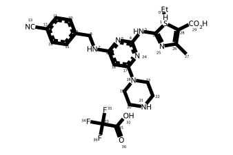 CC[SH]1C(Nc2nc(NCc3ccc(C#N)cc3)cc(N3CCNCC3)n2)=NC(C)=C1C(=O)O.O=C(O)C(F)(F)F